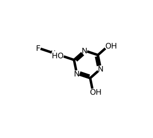 Oc1nc(O)nc(O)n1.[C]F